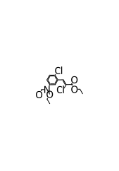 CCOC(=O)C(Cl)=Cc1cc(N(C=O)OCC)ccc1Cl